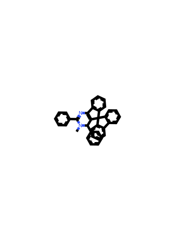 CN1C(c2ccccc2)=NC2=C(C1c1ccccc1)C1(c3ccccc32)c2ccccc2-c2ccccc21